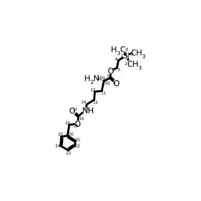 C[Si](C)(C)CCOC(=O)[C@@H](N)CCCCNC(=O)OCc1ccccc1